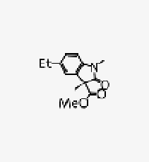 CCc1ccc2c(c1)[C@@](C)(C(=O)OC)C(=O)N2C